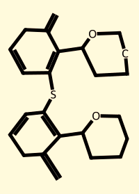 C=C1CC=CC(SC2=C(C3CCCCO3)C(=C)CC=C2)=C1C1CCCCO1